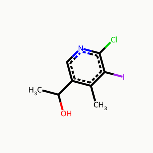 Cc1c(C(C)O)cnc(Cl)c1I